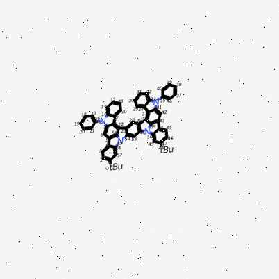 CC(C)(C)c1ccc2c3cc4c(c5ccccc5n4-c4ccccc4)c4c5cc6c7c8c9ccccc9n(-c9ccccc9)c8cc8c9ccc(C(C)(C)C)cc9n(c6cc5n(c2c1)c34)c87